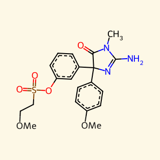 COCCS(=O)(=O)Oc1cccc(C2(c3ccc(OC)cc3)N=C(N)N(C)C2=O)c1